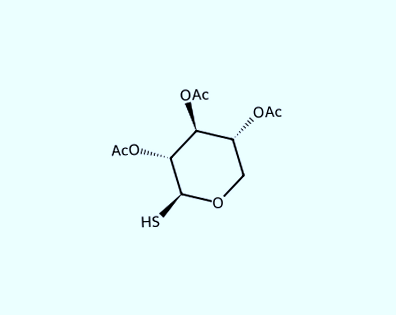 CC(=O)O[C@@H]1[C@@H](OC(C)=O)[C@H](OC(C)=O)CO[C@H]1S